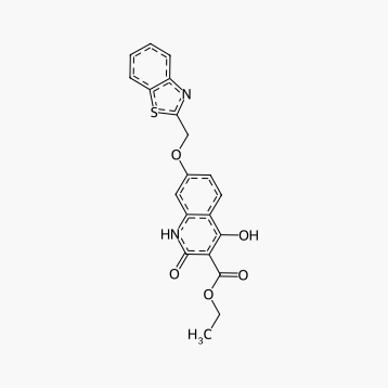 CCOC(=O)c1c(O)c2ccc(OCc3nc4ccccc4s3)cc2[nH]c1=O